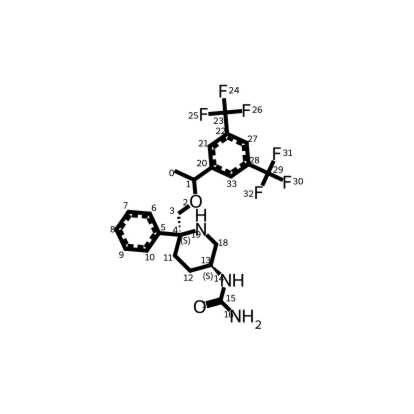 CC(OC[C@@]1(c2ccccc2)CC[C@H](NC(N)=O)CN1)c1cc(C(F)(F)F)cc(C(F)(F)F)c1